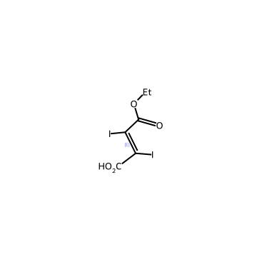 CCOC(=O)/C(I)=C(\I)C(=O)O